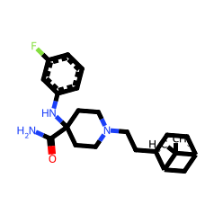 CC1(C)C2CCC(CCN3CCC(Nc4cccc(F)c4)(C(N)=O)CC3)C1C2